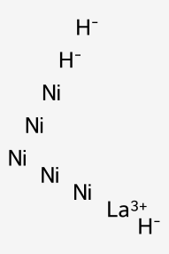 [H-].[H-].[H-].[La+3].[Ni].[Ni].[Ni].[Ni].[Ni]